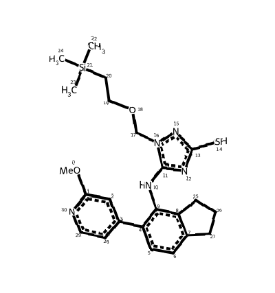 COc1cc(-c2ccc3c(c2Nc2nc(S)nn2COCC[Si](C)(C)C)CCC3)ccn1